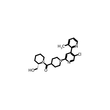 Cc1cccnc1-c1cc(N2CCC(C(=O)N3CCCC[C@H]3CO)CC2)ncc1Cl